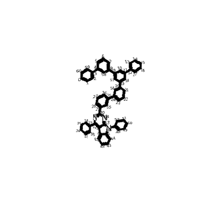 c1ccc(-c2cccc(-c3cc(-c4ccccc4)cc(-c4cccc(-c5cccc(-c6nc(-c7ccccc7)c7c8ccccc8n(-c8ccccc8)c7n6)c5)c4)c3)c2)cc1